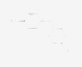 C=C1C=CC(OC2=CCC(=C)C=C2)=CC1